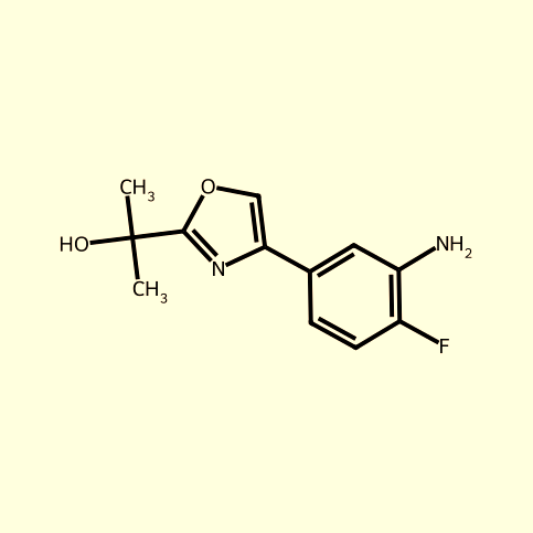 CC(C)(O)c1nc(-c2ccc(F)c(N)c2)co1